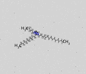 CCCCCCCCCCCCCCCCN1C=CN(CCCCC)C1CCCCCCCCCCC